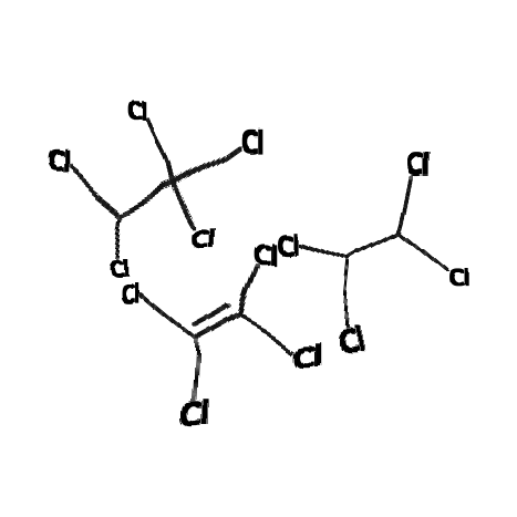 ClC(Cl)=C(Cl)Cl.ClC(Cl)C(Cl)(Cl)Cl.ClC(Cl)C(Cl)Cl